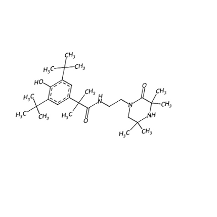 CC1(C)CN(CCNC(=O)C(C)(C)c2cc(C(C)(C)C)c(O)c(C(C)(C)C)c2)C(=O)C(C)(C)N1